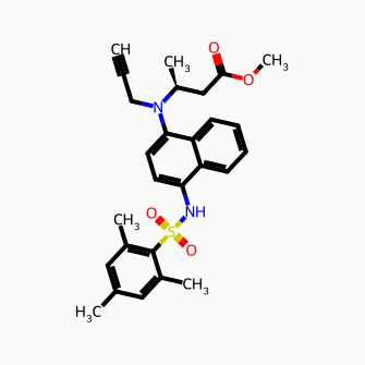 C#CCN(c1ccc(NS(=O)(=O)c2c(C)cc(C)cc2C)c2ccccc12)[C@@H](C)CC(=O)OC